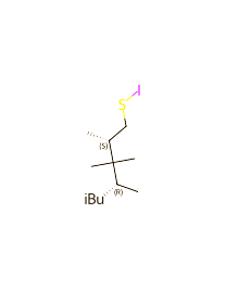 CCC(C)[C@@H](C)C(C)(C)[C@H](C)CSI